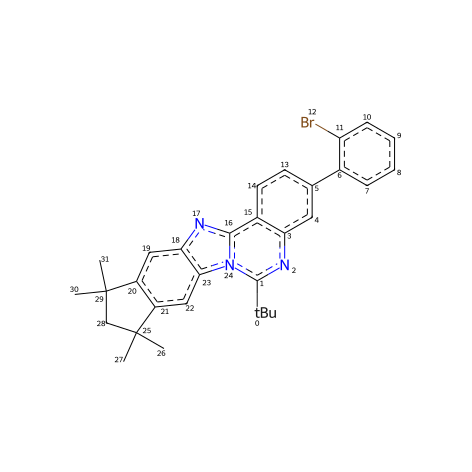 CC(C)(C)c1nc2cc(-c3ccccc3Br)ccc2c2nc3cc4c(cc3n12)C(C)(C)CC4(C)C